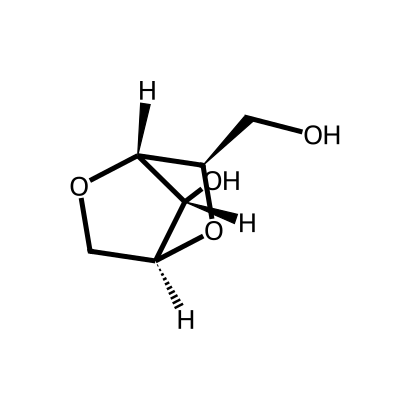 OC[C@H]1O[C@H]2CO[C@H]1[C@@H]2O